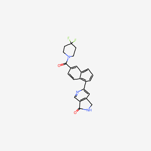 O=C1NCc2cc(-c3cccc4cc(C(=O)N5CCC(F)(F)CC5)ccc34)ncc21